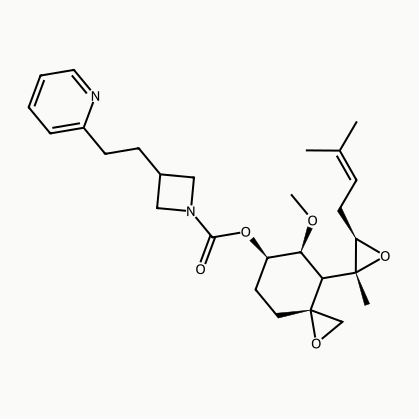 CO[C@H]1C([C@@]2(C)O[C@@H]2CC=C(C)C)[C@]2(CC[C@H]1OC(=O)N1CC(CCc3ccccn3)C1)CO2